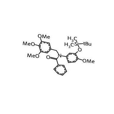 COc1ccc(N(Cc2cc(OC)c(OC)c(OC)c2)C(=O)c2ccccc2)cc1O[Si](C)(C)C(C)(C)C